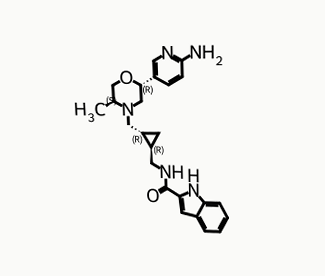 C[C@H]1CO[C@H](c2ccc(N)nc2)CN1C[C@@H]1C[C@H]1CNC(=O)c1cc2ccccc2[nH]1